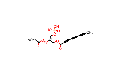 CC#CC#CC#CC(=O)OC[C@H](COP(=O)(O)O)OOC(=O)CCCCCCCC